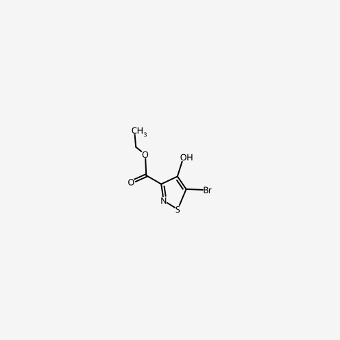 CCOC(=O)c1nsc(Br)c1O